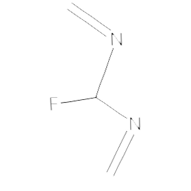 C=NC(F)N=C